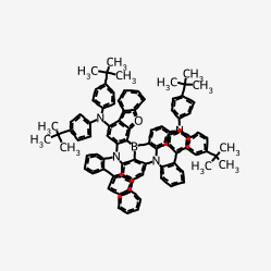 CC(C)(C)c1ccc(N(c2ccc(C(C)(C)C)cc2)c2ccc3c(c2)N(c2ccccc2-c2ccccc2)c2cc(-c4ccccc4)cc4c2B3c2c(cc(N(c3ccc(C(C)(C)C)cc3)c3ccc(C(C)(C)C)cc3)c3c2oc2ccccc23)N4c2ccccc2-c2ccccc2)cc1